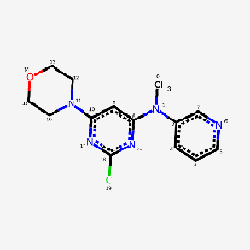 CN(c1cccnc1)c1cc(N2CCOCC2)nc(Cl)n1